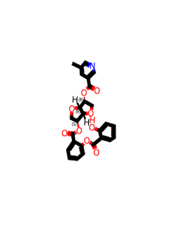 Cc1cncc(C(=O)O[C@@H]2CO[C@H]3[C@@H]2OC[C@@H]3OC(=O)c2ccccc2OC(=O)c2ccccc2O)c1